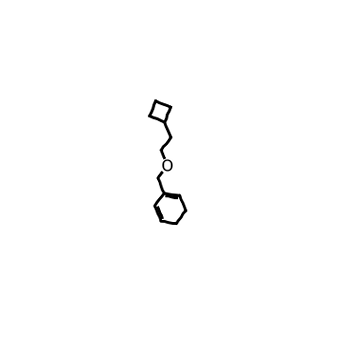 C1=CC(COCCC2CCC2)=CCC1